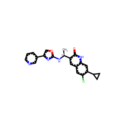 C[C@H](Nc1nc(-c2cccnc2)co1)c1cc2cc(Cl)c(C3CC3)cc2[nH]c1=O